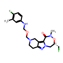 CN1O[C@H](CF)Cn2nc3c(c2C1=O)CN(COCNc1ccc(F)c(C(F)(F)F)c1)CC3